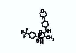 CC(NS(=O)(=O)c1ccc(C(F)(F)F)cc1)C(=O)Nc1ccc(N2CCOCC2)cc1